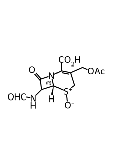 CC(=O)OCC1=C(C(=O)O)N2C(=O)C(NC=O)[C@H]2[S+]([O-])C1